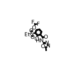 CCS(=O)(=O)c1c(OC(F)F)ccc(C(=O)Nc2nnc(C)o2)c1Cl